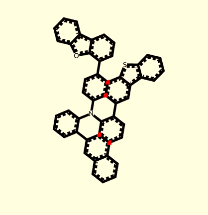 c1ccc(N(c2ccc(-c3cccc4c3oc3ccccc34)cc2)c2ccccc2-c2ccc3sc4ccccc4c3c2)c(-c2ccc3ccccc3c2)c1